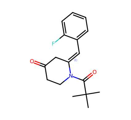 CC(C)(C)C(=O)N1CCC(=O)C/C1=C\c1ccccc1F